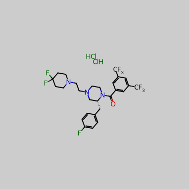 Cl.Cl.O=C(c1cc(C(F)(F)F)cc(C(F)(F)F)c1)N1CCN(CCN2CCC(F)(F)CC2)C[C@H]1Cc1ccc(F)cc1